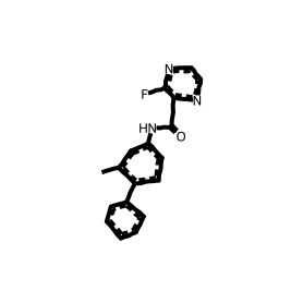 Cc1cc(NC(=O)c2nccnc2F)ccc1-c1ccccc1